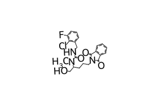 CN(C(=O)NCc1cccc(F)c1Cl)C(CO)CCCN1C(=O)c2ccccc2C1=O